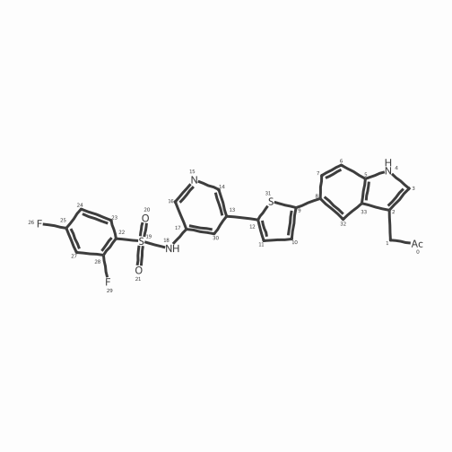 CC(=O)Cc1c[nH]c2ccc(-c3ccc(-c4cncc(NS(=O)(=O)c5ccc(F)cc5F)c4)s3)cc12